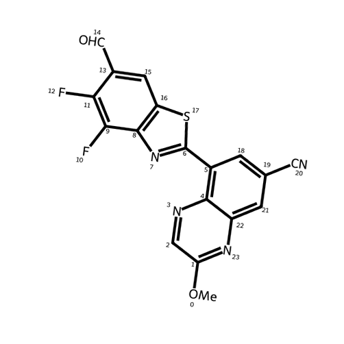 COc1cnc2c(-c3nc4c(F)c(F)c(C=O)cc4s3)cc(C#N)cc2n1